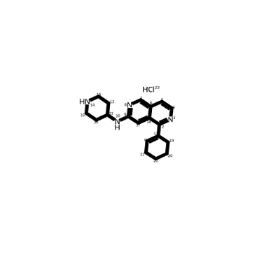 C1=C(c2nccc3cnc(NC4CCNCC4)cc23)CCCC1.Cl